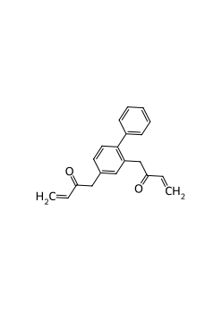 C=CC(=O)Cc1ccc(-c2ccccc2)c(CC(=O)C=C)c1